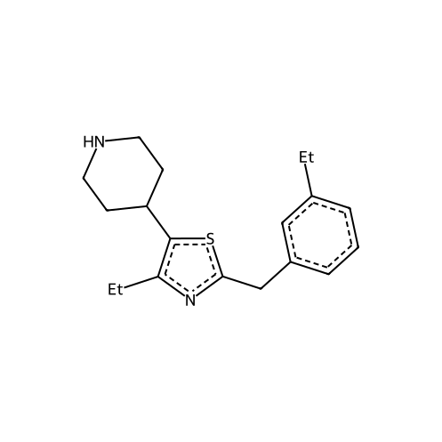 CCc1cccc(Cc2nc(CC)c(C3CCNCC3)s2)c1